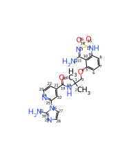 CC(C)(COc1cccc2c1C(N)=NS(=O)(=O)N2)NC(=O)c1ccnc(-n2ccnc2N)c1